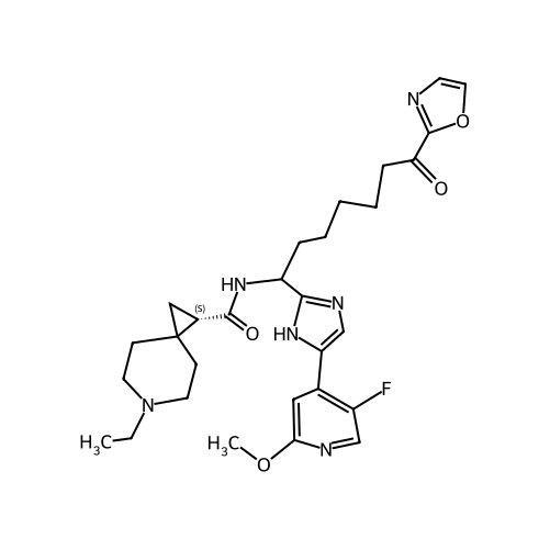 CCN1CCC2(CC1)C[C@@H]2C(=O)NC(CCCCCC(=O)c1ncco1)c1ncc(-c2cc(OC)ncc2F)[nH]1